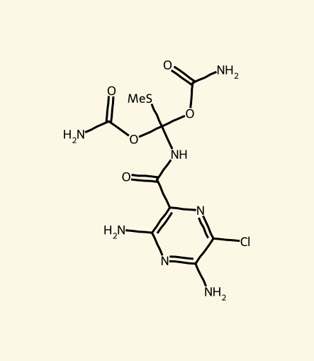 CSC(NC(=O)c1nc(Cl)c(N)nc1N)(OC(N)=O)OC(N)=O